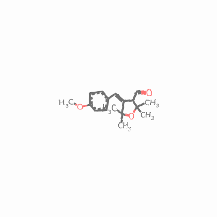 COc1ccc(C=C2C(C=O)C(C)(C)OC2(C)C)cc1